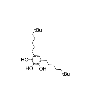 CC(C)(C)CCCCCc1cc(CCCCCC(C)(C)C)c(O)c(O)c1O